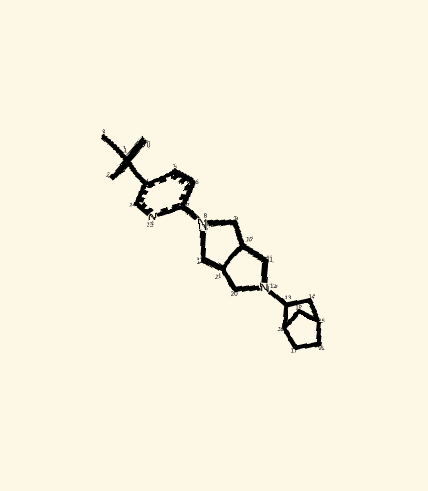 CC(C)(C)c1ccc(N2CC3CN(C4CC5CCC4C5)CC3C2)nc1